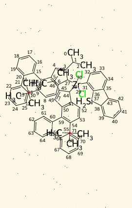 CC(C)C1=Cc2c(ccc(C(C)(C)C)c2-c2ccccc2-c2ccccc2)[CH]1[Zr]([Cl])([Cl])([c]1cccc2c1[SiH2]c1ccccc1-2)[CH]1C(C(C)C)=Cc2c1ccc(C(C)(C)C)c2-c1ccccc1-c1ccccc1